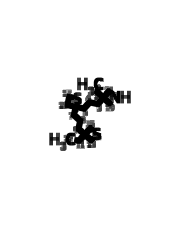 CCC1(CCCC2(CCCC3(CC)CSC3)CCS2)CNC1